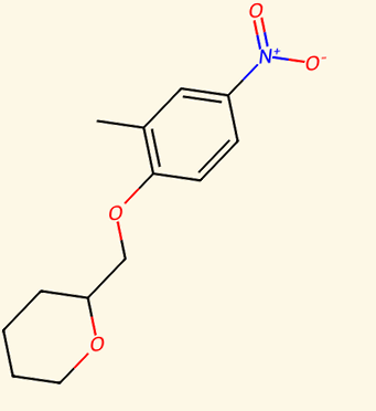 Cc1cc([N+](=O)[O-])ccc1OCC1CCCCO1